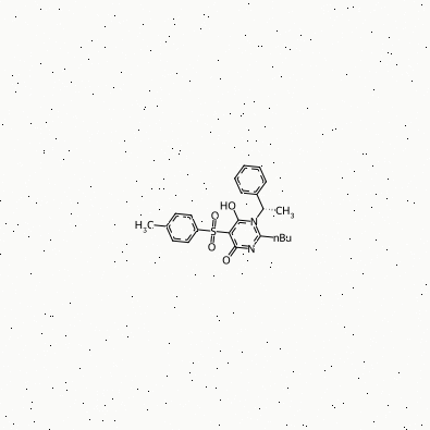 CCCCc1nc(=O)c(S(=O)(=O)c2ccc(C)cc2)c(O)n1[C@@H](C)c1ccccc1